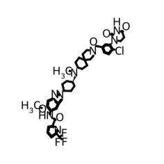 COc1cc2nn([C@H]3CC[C@H](CN(C)C4CCC5(CC4)CCN(C(=O)c4ccc(Cl)c(N6CCC(=O)NC6=O)c4)CC5)CC3)cc2cc1NC(=O)c1cccc(C(F)(F)F)n1